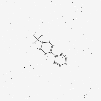 CC(C)(C)C1CC=C(c2[c]cccc2)CC1